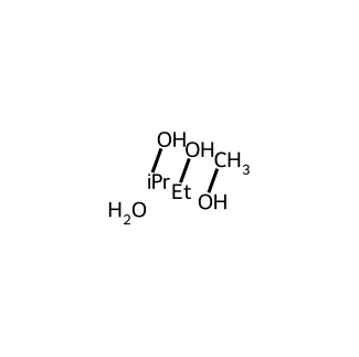 CC(C)O.CCO.CO.O